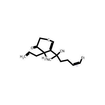 C=CCC1(C)C(=O)CCC=C1C(C#N)(C#N)CC/C=C\CC